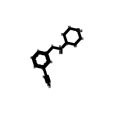 N#Cc1cccc(CNC2CCOCC2)c1